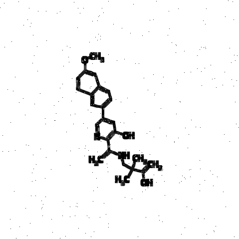 C=C(NCC(C)(C)C(=C)O)c1ncc(-c2ccc3cc(OC)ccc3c2)cc1O